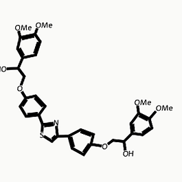 COc1ccc(C(O)COc2ccc(-c3csc(-c4ccc(OCC(O)c5ccc(OC)c(OC)c5)cc4)n3)cc2)cc1OC